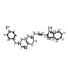 Fc1ccc(CN2C=NC3=C(C2)CN(CC#Cc2nc4ccccc4[nH]2)CC3)cc1